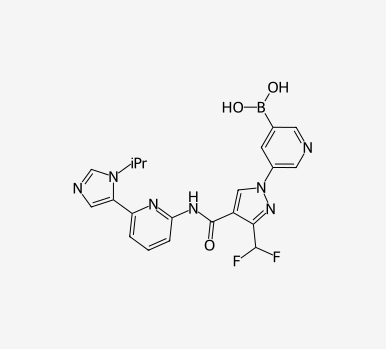 CC(C)n1cncc1-c1cccc(NC(=O)c2cn(-c3cncc(B(O)O)c3)nc2C(F)F)n1